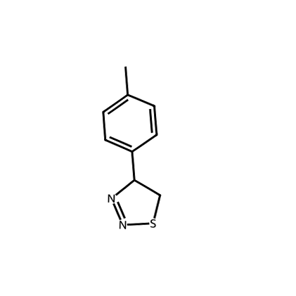 Cc1ccc(C2CSN=N2)cc1